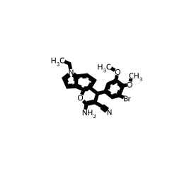 CCn1ccc2c3c(ccc21)C(c1cc(Br)c(OC)c(OC)c1)C(C#N)=C(N)O3